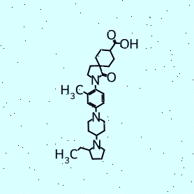 CCC1CCCN1C1CCN(c2ccc(N3CCC4(CCC(C(=O)O)CC4)C3=O)c(C)c2)CC1